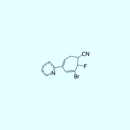 N#CC1CC=C(c2ccccn2)C=C(Br)C1F